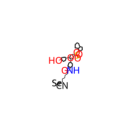 N#C[Se]CCCCCC(=O)Nc1ccc(C2=C(c3ccc(O)cc3)C3CC(S(=O)(=O)Oc4cccc5ccccc45)C2O3)cc1